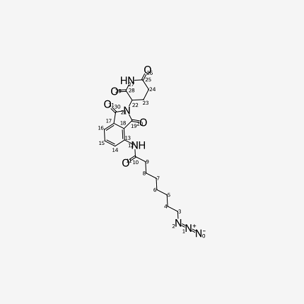 [N-]=[N+]=NCCCCCCCC(=O)Nc1cccc2c1C(=O)N(C1CCC(=O)NC1=O)C2=O